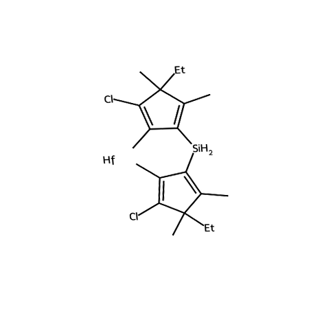 CCC1(C)C(C)=C([SiH2]C2=C(C)C(C)(CC)C(Cl)=C2C)C(C)=C1Cl.[Hf]